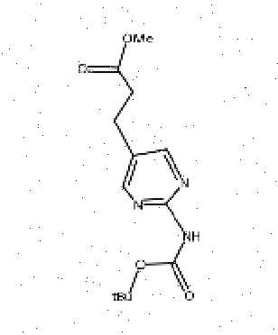 COC(=O)CCc1cnc(NC(=O)OC(C)(C)C)nc1